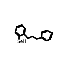 [SeH]c1ccccc1CCCc1ccccc1